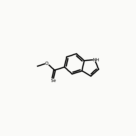 COC(=[Se])c1ccc2[nH]ccc2c1